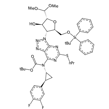 CCCSc1nc(N(C(=O)OC(C)(C)C)[C@@H]2C[C@H]2c2ccc(F)c(F)c2)c2nnn([C@@H]3[C@@H](O)[C@H](C(OC)OC)O[C@H]3CO[Si](c3ccccc3)(c3ccccc3)C(C)(C)C)c2n1